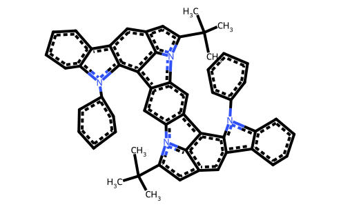 CC(C)(C)c1cc2cc3c4ccccc4n(-c4ccccc4)c3c3c4cc5c(cc4n1c23)c1c2c(cc3cc(C(C)(C)C)n5c31)c1ccccc1n2-c1ccccc1